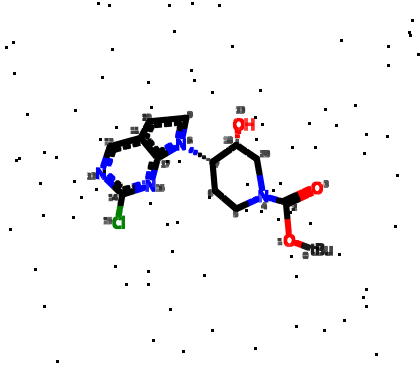 CC(C)(C)OC(=O)N1CC[C@H](n2ccc3cnc(Cl)nc32)[C@H](O)C1